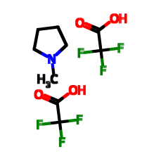 CN1CCCC1.O=C(O)C(F)(F)F.O=C(O)C(F)(F)F